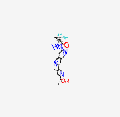 CC[C@H](O)c1cc(C)c(-c2cc3cnc(NC(=O)[C@H]4CC4(F)F)cc3cn2)cn1